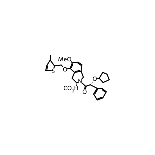 COc1ccc2c(c1OCC1SC=CC1C)C[C@@H](C(=O)O)N(C(=O)[C@H](OC1CCCC1)c1ccccc1)C2